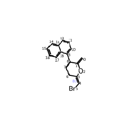 C=C1O/C(=C/Br)CCC1c1cccc2ccccc12